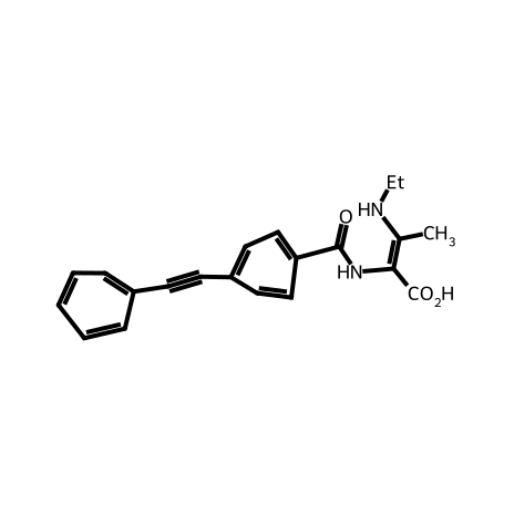 CCNC(C)=C(NC(=O)c1ccc(C#Cc2ccccc2)cc1)C(=O)O